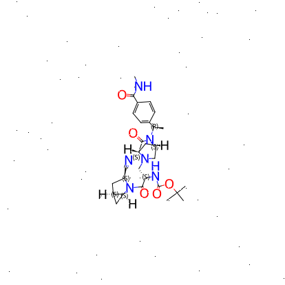 CNC(=O)c1ccc([C@@H](C)N2C(=O)[C@@H]3C[C@H]2CN3C[C@H](NC(=O)OC(C)(C)C)C(=O)N2[C@H](C#N)C[C@@H]3C[C@@H]32)cc1